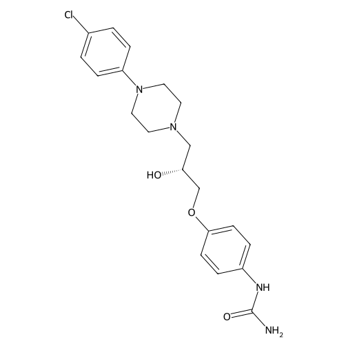 NC(=O)Nc1ccc(OC[C@H](O)CN2CCN(c3ccc(Cl)cc3)CC2)cc1